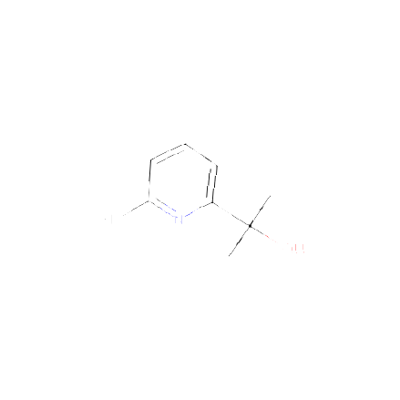 [2H]c1cccc(C(C)(C)O)n1